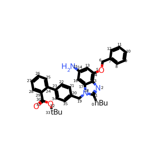 CCCCc1nc2c(OCc3ccccc3)cc(N)cc2n1Cc1ccc(-c2ccccc2C(=O)OC(C)(C)C)cc1